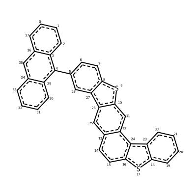 c1ccc2c(-c3ccc4sc5cc6c(ccc7sc8ccccc8c76)cc5c4c3)c3ccccc3cc2c1